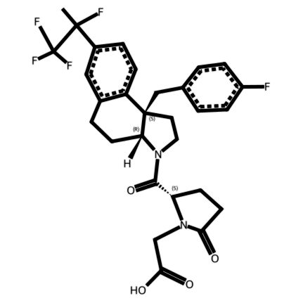 CC(F)(c1ccc2c(c1)CC[C@H]1N(C(=O)[C@@H]3CCC(=O)N3CC(=O)O)CC[C@@]21Cc1ccc(F)cc1)C(F)(F)F